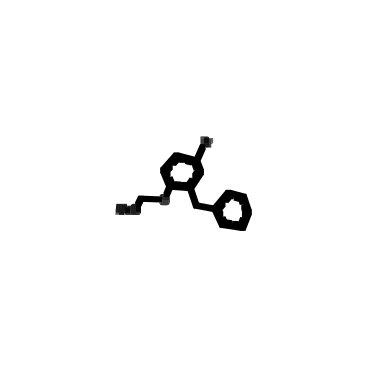 COCOc1ccc(Br)cc1Cc1ccccc1